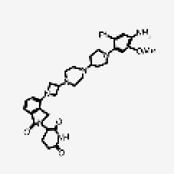 CCc1cc(N)c(OC)cc1N1CCC(N2CCN(C3CN(c4cccc5c4CN(C4CCC(=O)NC4=O)C5=O)C3)CC2)CC1